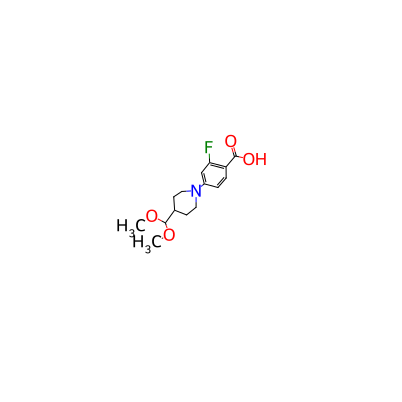 COC(OC)C1CCN(c2ccc(C(=O)O)c(F)c2)CC1